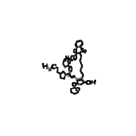 CCCC1CCC([C@@H](C=C[C@@H]2[C@@H](CCCCCC([Se]c3ccccc3)C(=O)OC)[C@@H](O)C[C@H]2OC2CCCCO2)OC2CCCCO2)C1